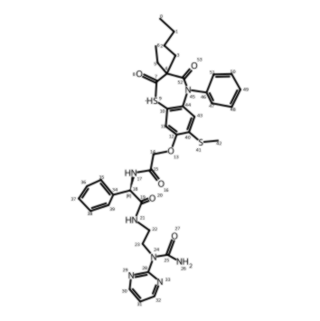 CCCCC1(CC)C(=O)[SH]c2cc(OCC(=O)N[C@@H](C(=O)NCCN(C(N)=O)c3ncccn3)c3ccccc3)c(SC)cc2N(c2ccccc2)C1=O